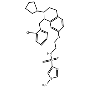 Cn1cnc(S(=O)(=O)NCCOc2ccc3c(c2)C(Cc2ccccc2Cl)C(N2CCCC2)CC3)c1